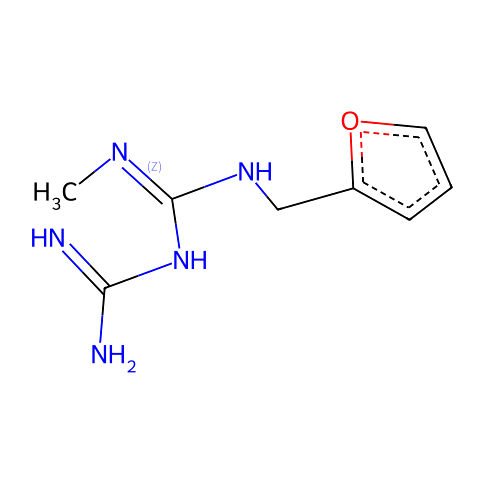 C/N=C(/NCc1ccco1)NC(=N)N